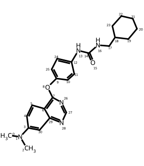 CN(C)c1ccc2c(Oc3ccc(NC(=O)NCC4CCCCC4)cc3)ncnc2c1